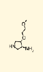 COCCOC1CNCC1N